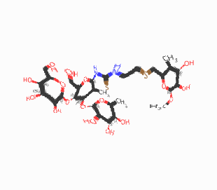 CO[C@H]1OC(CSCCNC(=S)N[C@@H]2OC(CO)[C@@H](O[C@@H]3OC(CO)[C@H](O)[C@H](O)C3O)[C@H](O[C@@H]3OC(C)[C@@H](O)[C@H](O)C3O)C2C)C(C)[C@H](O)C1O